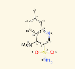 CNc1c(S(N)(=O)=O)cnc2cc(C)ccc12